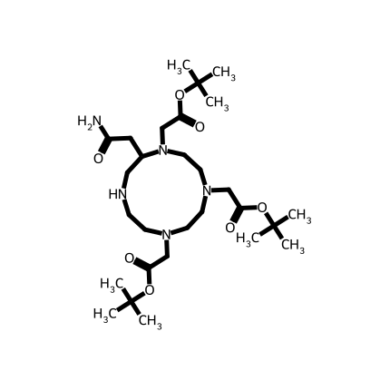 CC(C)(C)OC(=O)CN1CCNCC(CC(N)=O)N(CC(=O)OC(C)(C)C)CCN(CC(=O)OC(C)(C)C)CC1